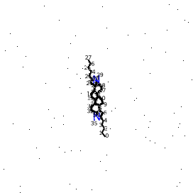 CCCCCc1cc2c3ccc4c(ccc5c4ccc4c5cc(CCCCC)n4C)c3ccc2n1C